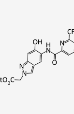 CCOC(=O)Cn1cc2cc(NC(=O)c3cccc(C(F)(F)F)n3)c(O)cc2n1